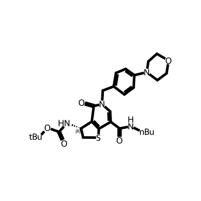 CCCCNC(=O)c1cn(Cc2ccc(N3CCOCC3)cc2)c(=O)c2c1SC[C@@H]2NC(=O)OC(C)(C)C